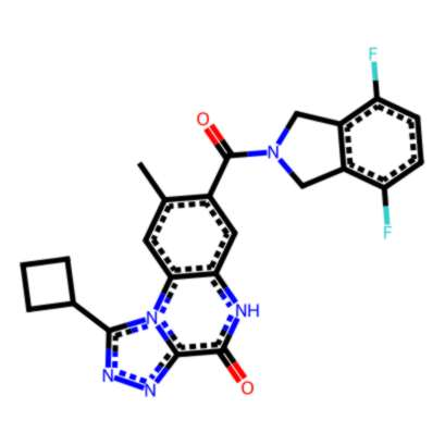 Cc1cc2c(cc1C(=O)N1Cc3c(F)ccc(F)c3C1)[nH]c(=O)c1nnc(C3CCC3)n12